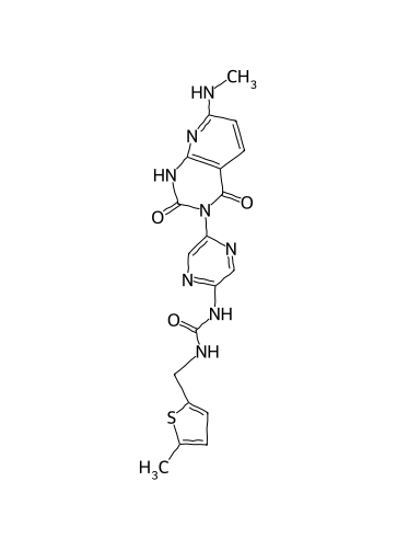 CNc1ccc2c(=O)n(-c3cnc(NC(=O)NCc4ccc(C)s4)cn3)c(=O)[nH]c2n1